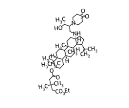 C=C(C)[C@@H]1CC[C@]2(NCC([C@@H](C)O)N3CCS(=O)(=O)CC3)CC[C@]3(C)[C@H](CC[C@@H]4[C@@]5(C)CC[C@H](OC(=O)CC(C)(C)CC(=O)OCC)C(C)(C)[C@@H]5CC[C@]43C)[C@@H]12